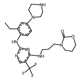 CCc1cc(N2CCNCC2)ccc1Nc1ncc(C(F)(F)F)c(NCCCN2CCCOC2=O)n1